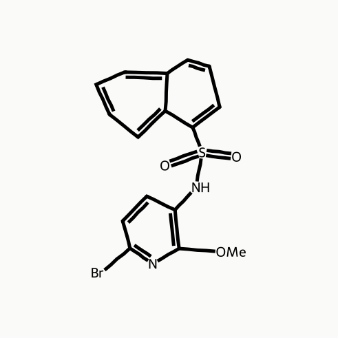 COc1nc(Br)ccc1NS(=O)(=O)c1cccc2ccccc12